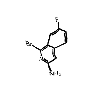 Nc1cc2ccc(F)cc2c(Br)n1